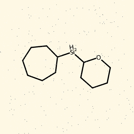 C1CCCC([SiH2]C2CCCCO2)CC1